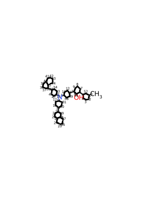 Cc1cccc(-c2cccc(-c3ccc(N(c4ccc(-c5ccc6ccccc6c5)cc4)c4ccc(-c5cccc6ccccc56)cc4)cc3)c2O)c1